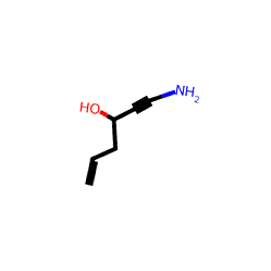 C=CCC(O)C#CN